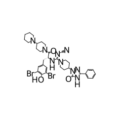 N#CN=C(N[C@H](Cc1cc(Br)c(O)c(Br)c1)C(=O)N1CCC(N2CCCCC2)CC1)N1CCC(n2nc(-c3ccccc3)[nH]c2=O)CC1